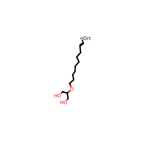 CCCCCCCCC=CCCCCCCCCOC(CO)CO